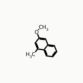 COc1cc(C)c2ccccc2c1